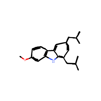 COc1ccc2c(c1)[nH]c1c(CC(C)C)cc(CC(C)C)cc12